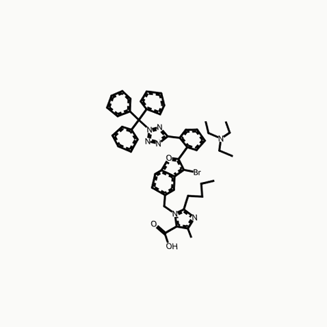 CCCCc1nc(C)c(C(=O)O)n1Cc1ccc2oc(-c3ccccc3-c3nnn(C(c4ccccc4)(c4ccccc4)c4ccccc4)n3)c(Br)c2c1.CCN(CC)CC